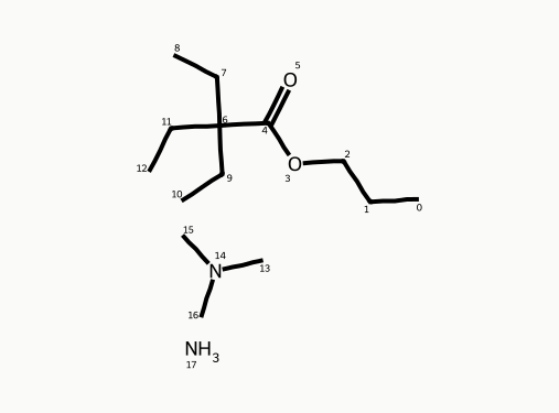 CCCOC(=O)C(CC)(CC)CC.CN(C)C.N